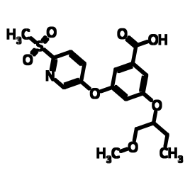 CCC(COC)Oc1cc(Oc2ccc(S(C)(=O)=O)nc2)cc(C(=O)O)c1